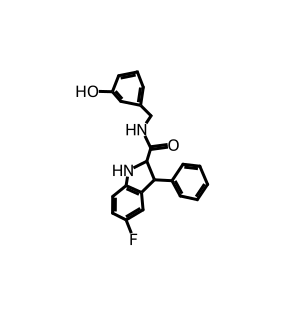 O=C(NCc1cccc(O)c1)C1Nc2ccc(F)cc2C1c1ccccc1